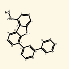 OBc1cccc2oc3c(-c4cccc(-c5ccccc5)c4)cccc3c12